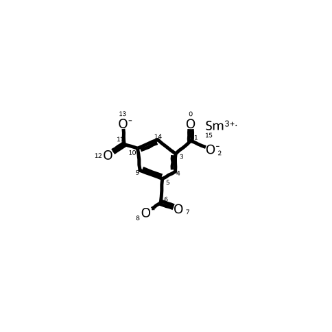 O=C([O-])c1cc(C(=O)[O-])cc(C(=O)[O-])c1.[Sm+3]